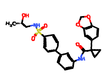 C[C@H](O)CNS(=O)(=O)c1ccc(-c2cccc(NC(=O)C3(c4ccc5c(c4)OCO5)CC3)c2)cc1